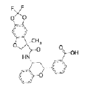 C[C@]1(C(=O)N[C@@H]2C[C@H](c3cccc(C(=O)O)c3)Oc3ccccc32)COc2cc3c(cc21)OC(F)(F)O3